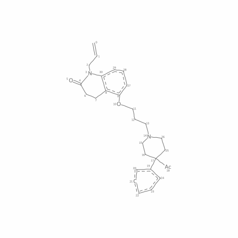 C=CCN1C(=O)CCc2c(OCCCN3CCC(C(C)=O)(c4ccccc4)CC3)cccc21